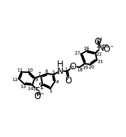 O=C(Nc1ccc2c(c1)c1ccccc1[s+]2[O-])OCc1ccc([N+](=O)[O-])cc1